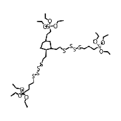 CCO[Si](CCCSSSSCCC1CCC(CC[Si](OCC)(OCC)OCC)CC1CCSSSSCCC[Si](OCC)(OCC)OCC)(OCC)OCC